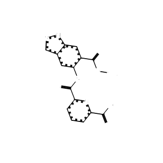 C=C(O)c1cccc(C(=O)Nc2cc3cn[nH]c3cc2C(=O)OC)n1